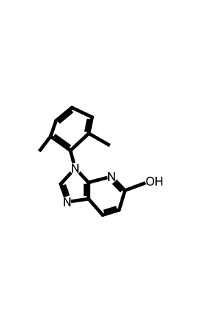 Cc1cccc(C)c1-n1cnc2ccc(O)nc21